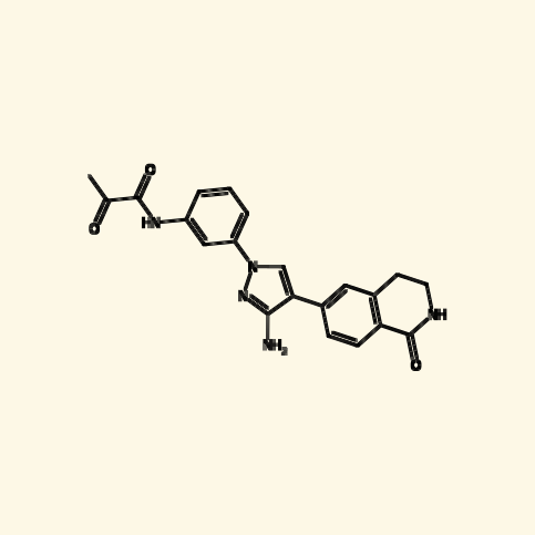 CC(=O)C(=O)Nc1cccc(-n2cc(-c3ccc4c(c3)CCNC4=O)c(N)n2)c1